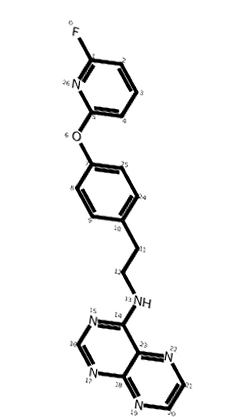 Fc1cccc(Oc2ccc(CCNc3ncnc4nccnc34)cc2)n1